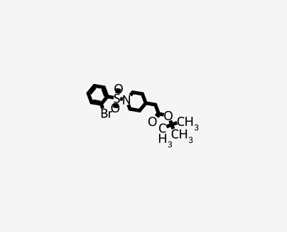 CC(C)(C)OC(=O)CC1CCN(S(=O)(=O)c2ccccc2Br)CC1